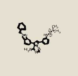 CN(C)S(=O)(=O)Nc1cccc(-c2cc(-c3ccc4cn(Cc5ccccc5)nc4c3)c3c(N)ncnn23)c1